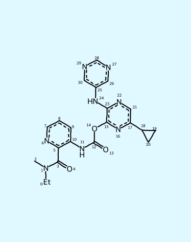 CCN(C)C(=O)c1ncccc1NC(=O)Oc1nc(C2CC2)cnc1Nc1cncnc1